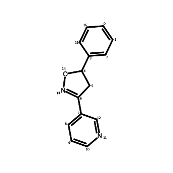 c1ccc(C2CC(c3cccnc3)=NO2)cc1